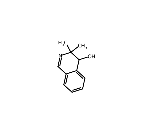 CC1(C)N=Cc2ccccc2C1O